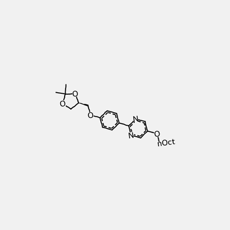 CCCCCCCCOc1cnc(-c2ccc(OC[C@H]3COC(C)(C)O3)cc2)nc1